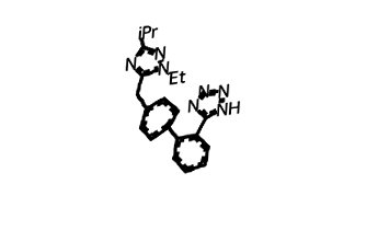 CCn1nc(C(C)C)nc1Cc1ccc(-c2ccccc2-c2nnn[nH]2)cc1